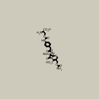 CO[C@@]1(NC(=O)Cc2ccc(NC(=O)OC[C@@H](N)C(=O)O)cc2)C(=O)N2C(C(=O)O)=C(COC(N)=O)CS[C@H]21